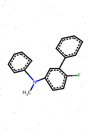 CN(c1ccccc1)c1ccc(F)c(-c2ccccc2)c1